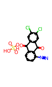 N#[N+]c1cccc2c1C(=O)c1cc(Cl)c(Cl)cc1C2=O.O=S(=O)(O)O